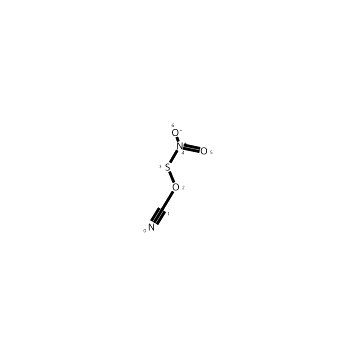 N#COS[N+](=O)[O-]